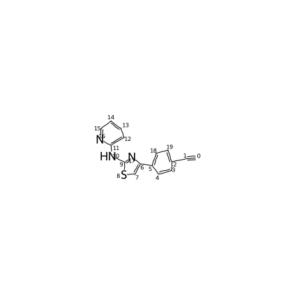 C#Cc1ccc(-c2csc(Nc3ccccn3)n2)cc1